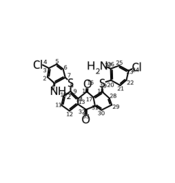 Nc1cc(Cl)ccc1Sc1cccc2c1C(=O)c1c(Sc3ccc(Cl)cc3N)cccc1C2=O